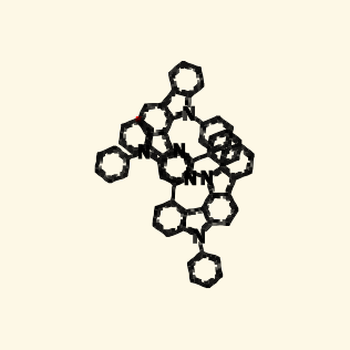 c1ccc(-c2cc(-c3cccc4c3c3c(ccc5c6ccccc6n(-c6ccc7c(c6)c6c(ccc8c9ccccc9n(-c9ccccc9)c86)n7-c6ccccc6)c53)n4-c3ccccc3)nc(-c3ccccc3)n2)cc1